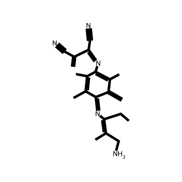 C=C(C#N)/C(C#N)=N\C1=C(C)C(=C)/C(=N\C(CC)=C(/C)CN)C(C)=C1C